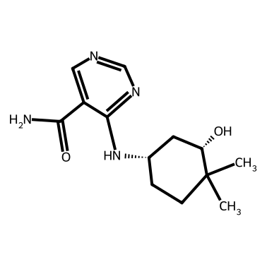 CC1(C)CC[C@H](Nc2ncncc2C(N)=O)C[C@@H]1O